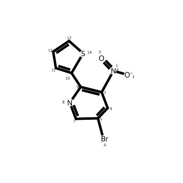 O=[N+]([O-])c1cc(Br)cnc1-c1cccs1